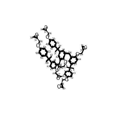 CC(C)(c1ccc(OC[C@H]2CO2)cc1)c1ccc(OCC2CO2)c(Cc2cc(C(C)(C)c3ccc(OC[C@H]4CO4)cc3)cc(Cc3cc(C(C)(C)c4ccc(OC[C@H]5CO5)cc4)ccc3OCC3CO3)c2OCC2CO2)c1